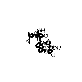 N#Cc1cncc(COc2c(OCc3cccc(-c4cccc(COc5cc(Cl)cc(C(=O)O)c5OCc5cncc(C#N)c5)c4Cl)c3Cl)cc(Cl)cc2C(=O)O)c1